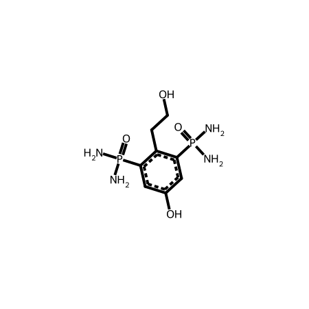 NP(N)(=O)c1cc(O)cc(P(N)(N)=O)c1CCO